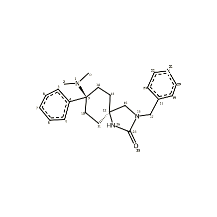 CN(C)[C@]1(c2ccccc2)CC[C@]2(CC1)CN(Cc1ccncc1)C(=O)N2